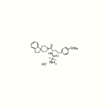 COc1ccc(CCC(NC(=O)C(C)(C)N)C(=O)N2CCC3(CCc4ccccc43)CC2)cc1.Cl